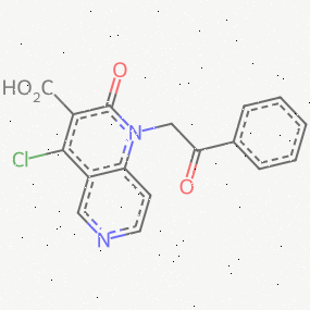 O=C(Cn1c(=O)c(C(=O)O)c(Cl)c2cnccc21)c1ccccc1